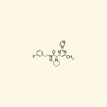 Cc1cc(C(C(=O)NCCc2cccc(F)c2)N2CCCCC2)nc(-n2ccnc2)n1